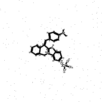 CN(C)c1ccc(C=C2c3ccccc3C[n+]3c2sc2ccccc23)cc1.[O-][Cl+3]([O-])([O-])[O-]